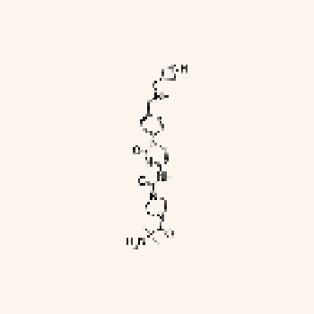 CC(C)(N)C(=O)N1CCN(C(=O)Nc2ccn(-c3ccc(CNCC4CNC4)cc3)c(=O)n2)CC1